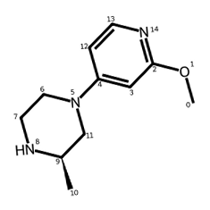 COc1cc(N2CCN[C@H](C)C2)ccn1